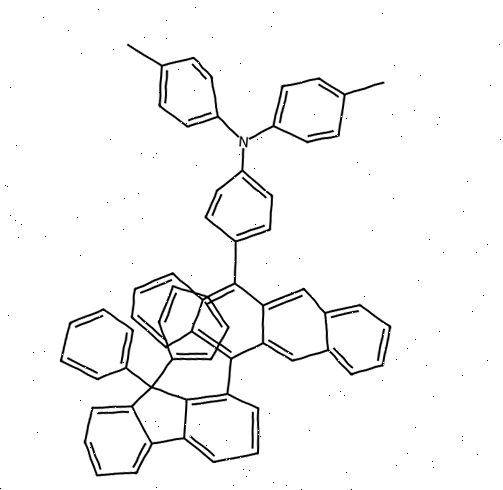 Cc1ccc(N(c2ccc(C)cc2)c2ccc(-c3c4ccccc4c(-c4cccc5c4C(c4ccccc4)(c4ccccc4)c4ccccc4-5)c4cc5ccccc5cc34)cc2)cc1